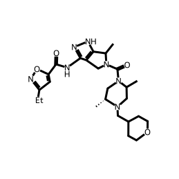 CCc1cc(C(=O)Nc2n[nH]c3c2CN(C(=O)N2C[C@@H](C)N(CC4CCOCC4)CC2C)C3C)on1